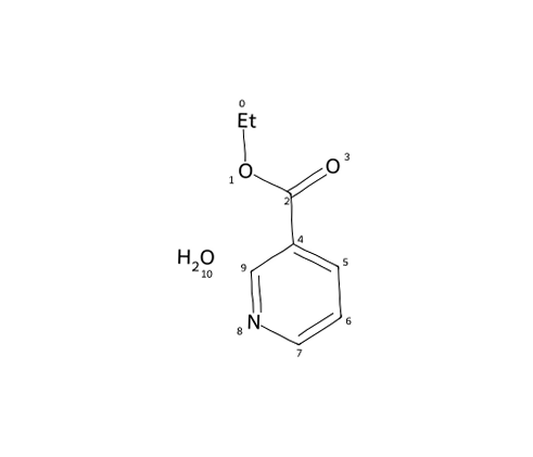 CCOC(=O)c1cccnc1.O